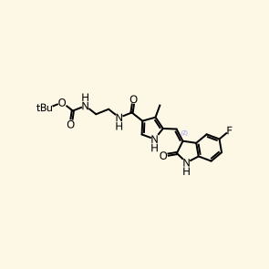 Cc1c(C(=O)NCCNC(=O)OC(C)(C)C)c[nH]c1/C=C1\C(=O)Nc2ccc(F)cc21